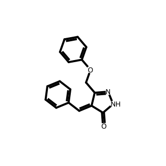 O=C1NN=C(COc2ccccc2)C1=Cc1ccccc1